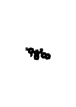 O=C(c1nn(-c2ccc(F)cc2F)c2c1C1CCC2C1)N1CCc2ccccc2C1